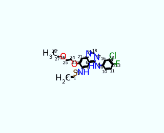 C=CSNc1cc2c(Nc3ccc(F)c(Cl)c3)ncnc2cc1OCCOCC